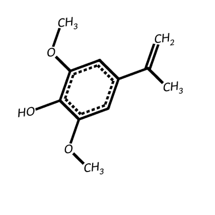 C=C(C)c1cc(OC)c(O)c(OC)c1